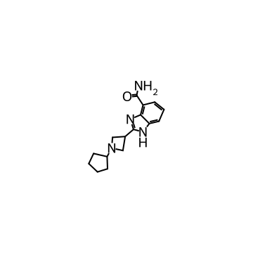 NC(=O)c1cccc2[nH]c(C3CN(C4CCCC4)C3)nc12